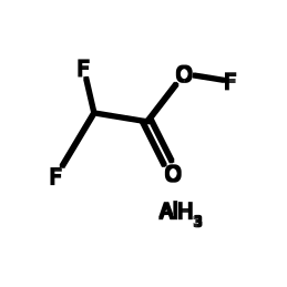 O=C(OF)C(F)F.[AlH3]